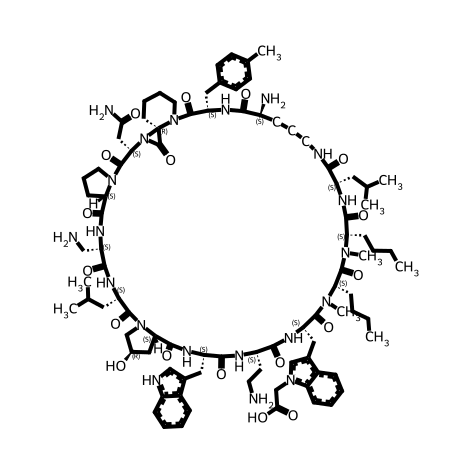 CCCC[C@H]1C(=O)N(C)[C@@H](CCCC)C(=O)N[C@@H](CC(C)C)C(=O)NCCC[C@H](N)C(=O)N[C@@H](Cc2ccc(C)cc2)C(=O)N2CCCC[C@@]23C(=O)N3[C@@H](CC(N)=O)C(=O)N2CCC[C@H]2C(=O)N[C@@H](CN)C(=O)N[C@@H](CC(C)C)C(=O)N2C[C@H](O)C[C@H]2C(=O)N[C@@H](Cc2c[nH]c3ccccc23)C(=O)N[C@@H](CCN)C(=O)N[C@@H](Cc2cn(CC(=O)O)c3ccccc23)C(=O)N1C